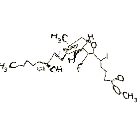 CCCCC[C@H](O)/C=C/[C@@H]1[C@H]2C(F)C(C(I)CCCC(=O)OC)O[C@H]2C[C@H]1C